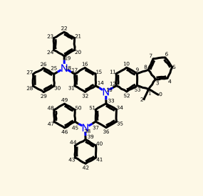 CC1(C)c2ccccc2-c2ccc(N(c3ccc(N(c4ccccc4)c4ccccc4)cc3)c3cccc(N(c4ccccc4)c4ccccc4)c3)cc21